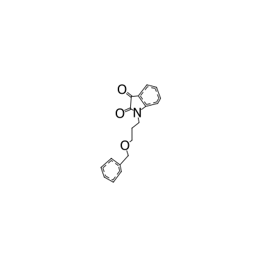 O=C1C(=O)N(CCCOCc2ccccc2)c2ccccc21